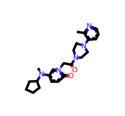 Cc1ncccc1N1CCN(C(=O)Cn2cc(N(C)C3CCCC3)ccc2=O)CC1